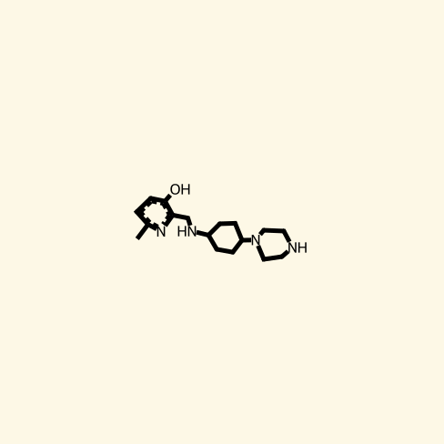 Cc1ccc(O)c(CNC2CCC(N3CCNCC3)CC2)n1